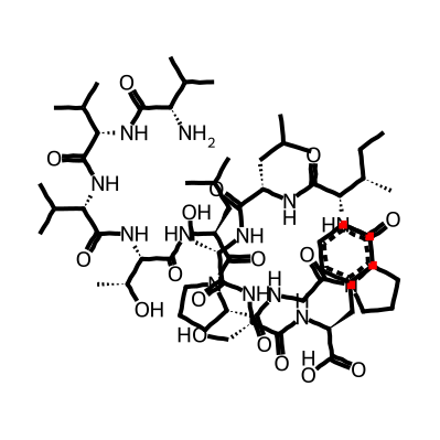 CC[C@H](C)[C@H](NC(=O)[C@@H]1CCCN1C(=O)CNC(=O)[C@@H]1CCCN1C(=O)[C@H](CC(C)C)NC(=O)[C@@H](NC(=O)[C@@H](NC(=O)[C@@H](NC(=O)[C@@H](N)C(C)C)C(C)C)C(C)C)[C@@H](C)O)C(=O)N[C@@H](CC(C)C)C(=O)N[C@@H](CO)C(=O)N[C@@H](CO)C(=O)N[C@@H](Cc1ccccc1)C(=O)O